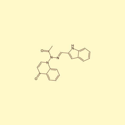 CC(=O)N(N=Cc1cc2ccccc2[nH]1)n1ccc(=O)c2ccccc21